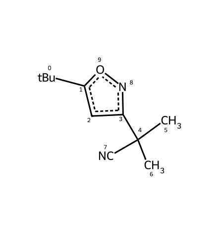 CC(C)(C)c1cc(C(C)(C)C#N)no1